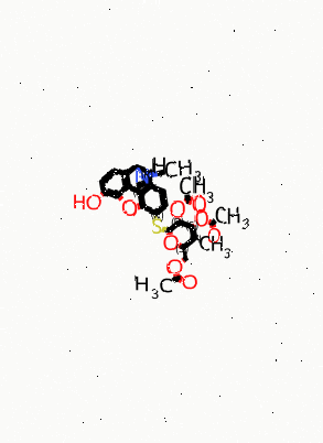 CC(=O)OC[C@H]1OC(S[C@@H]2C=CC3[C@H]4Cc5ccc(O)c6c5[C@@]3(CCN4C)C2O6)[C@H](OC(C)=O)[C@@H](OC(C)=O)[C@@H]1C